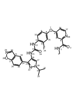 CNC(=O)c1cc(Oc2ccc(NC(=O)Nc3cn(C(C)C)nc3-c3ccc4oncc4c3)c(F)c2)ccn1